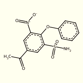 CC(=O)c1cc([N+](=O)[O-])c(Oc2ccccc2)c(S(N)(=O)=O)c1